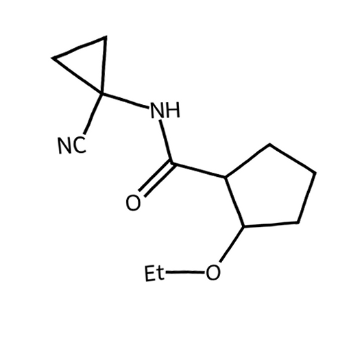 CCOC1CCCC1C(=O)NC1(C#N)CC1